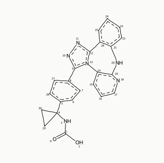 O=C(O)NC1(c2ccc(-c3nnc4n3-c3cccnc3Nc3ccccc3-4)cc2)CC1